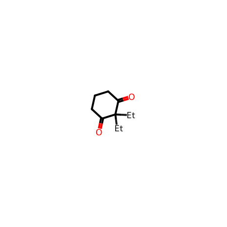 CCC1(CC)C(=O)CCCC1=O